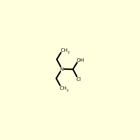 CCN(CC)C(O)Cl